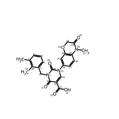 Cc1cccc(Cn2c(=O)c(C(=O)O)cn(-c3ccc4c(c3)OCC(=O)N4C)c2=O)c1C